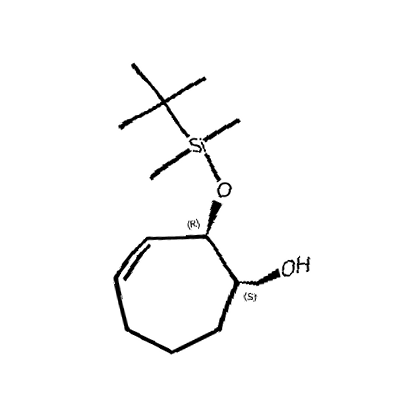 CC(C)(C)[Si](C)(C)O[C@@H]1C=CCCC[C@@H]1O